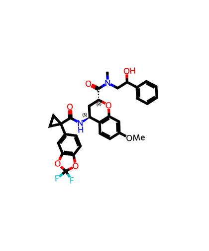 COc1ccc2c(c1)O[C@@H](C(=O)N(C)CC(O)c1ccccc1)C[C@@H]2NC(=O)C1(c2ccc3c(c2)OC(F)(F)O3)CC1